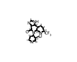 O=c1c2nc[nH]c2c2ccc(C(F)(F)F)nc2n1-c1ccncc1Cl